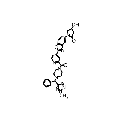 Cn1nnc(C(c2ccccc2)N2CCN(C(=O)c3cc(-c4nc5cc(N6CC(O)CC6=O)ccc5o4)ccn3)CC2)n1